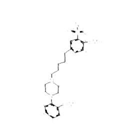 COc1ccccc1N1CCN(CCCCCc2ccc(SC)c(S(N)(=O)=O)c2)CC1